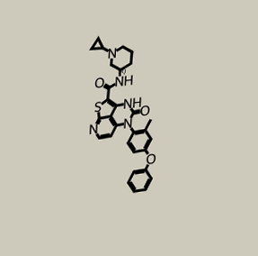 Cc1cc(Oc2ccccc2)ccc1N1C(=O)Nc2c(C(=O)N[C@@H]3CCCN(C4CC4)C3)sc3nccc1c23